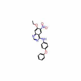 CCOc1cc2ncnc(Nc3ccc(Oc4ccccc4)cc3)c2cc1[N+](=O)[O-]